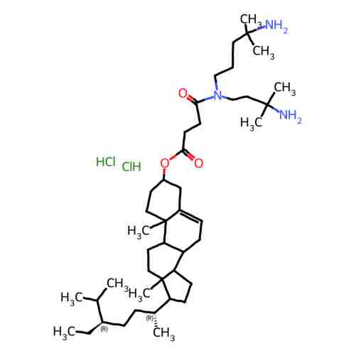 CC[C@H](CC[C@@H](C)C1CCC2C3CC=C4CC(OC(=O)CCC(=O)N(CCCC(C)(C)N)CCC(C)(C)N)CCC4(C)C3CCC21C)C(C)C.Cl.Cl